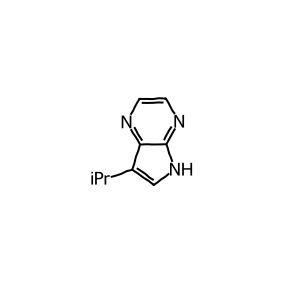 CC(C)c1c[nH]c2nccnc12